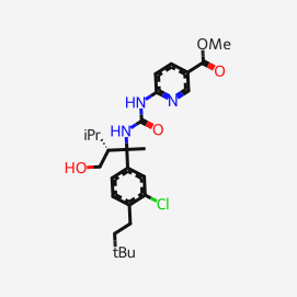 COC(=O)c1ccc(NC(=O)NC(C)(c2ccc(CCC(C)(C)C)c(Cl)c2)[C@H](CO)C(C)C)nc1